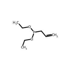 C=CCP(OCC)OCC